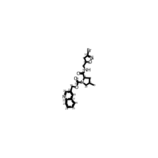 CC1CC(C(=O)NCC2CC(Br)=NO2)N(C(=O)OCc2cnc3ccccc3c2)C1